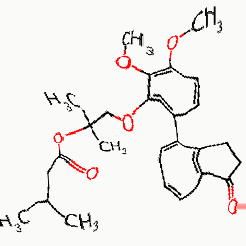 COc1ccc(-c2cccc3c2CCC3=O)c(OCC(C)(C)OC(=O)CC(C)C)c1OC